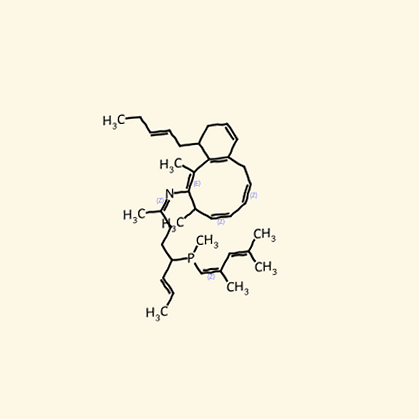 CC=CC(CC/C(C)=N\C1=C(/C)C2=C(C=CCC2CC=CCC)C/C=C\C=C/C1C)P(C)/C=C(/C)C=C(C)C